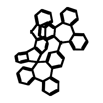 c1ccc2c(c1)-c1ccccc1N(c1ccc3c(c1)C1(c4ccccc4-c4ccccc4-3)c3ccccc3-c3c1ccc1c3sc3ccccc31)c1ccccc1-2